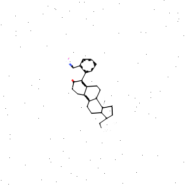 CO[C@@]1(CSC)CC[C@H]2[C@@H]3CCC4=C(c5ccccc5/C=N\O)C(=O)CCC4=C3CC[C@@]21C